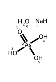 O.O=[As](O)(O)O.[NaH]